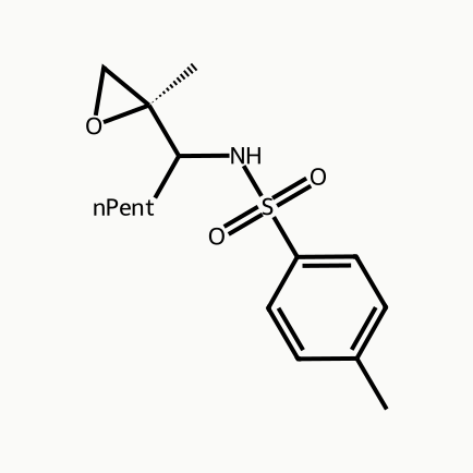 CCCCCC(NS(=O)(=O)c1ccc(C)cc1)[C@]1(C)CO1